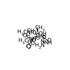 CC#C[C@@]1(O)C(O)C(COP(=O)(N[C@@H](C)C(=O)OC(C)C)Oc2ccccc2)O[C@H]1n1ccc2c(=O)[nH]c(N)nc21